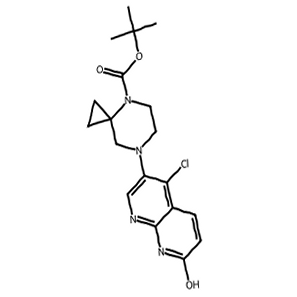 CC(C)(C)OC(=O)N1CCN(c2cnc3nc(O)ccc3c2Cl)CC12CC2